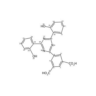 O=C(O)c1cc(C(=O)O)cc(-c2nc(-c3ccccc3O)nc(-c3ccccc3O)n2)c1